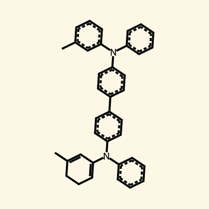 CC1=CC(N(c2ccccc2)c2ccc(-c3ccc(N(c4ccccc4)c4cccc(C)c4)cc3)cc2)=CCC1